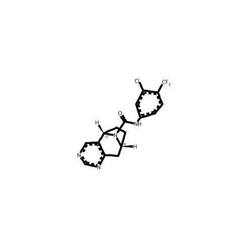 O=C(Nc1ccc(C(F)(F)F)c(Cl)c1)N1[C@@H]2CC[C@H]1c1cncnc1C2